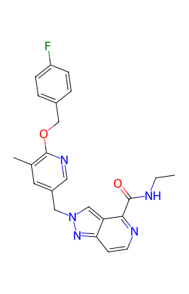 CCNC(=O)c1nccc2nn(Cc3cnc(OCc4ccc(F)cc4)c(C)c3)cc12